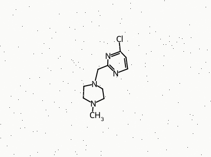 CN1CCN(Cc2nccc(Cl)n2)CC1